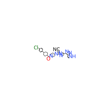 N#CCC1(n2cc(-c3ncnc4[nH]ccc34)cn2)CN(C2CCN(C(=O)C3CCC(c4ccc(Cl)cc4)CC3)CC2)C1